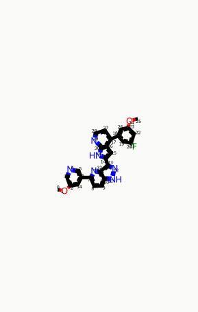 COc1cncc(-c2ccc3[nH]nc(-c4cc5c(-c6cc(F)cc(OC)c6)ccnc5[nH]4)c3n2)c1